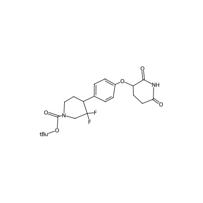 CC(C)(C)OC(=O)N1CCC(c2ccc(OC3CCC(=O)NC3=O)cc2)C(F)(F)C1